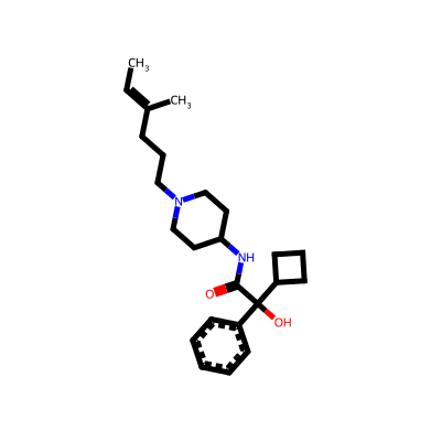 C/C=C(\C)CCCN1CCC(NC(=O)C(O)(c2ccccc2)C2CCC2)CC1